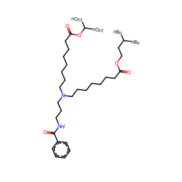 CCCCCCCCC(CCCCCCCC)OC(=O)CCCCCCCN(CCCCCCCC(=O)OCCC(CCCC)CCCC)CCCNC(=O)c1ccccc1